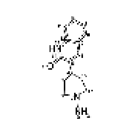 NN1CCC(c2cc3ccccc3[nH]c2=O)CC1